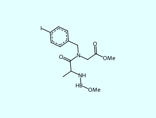 COBNC(C)C(=O)N(CC(=O)OC)Cc1ccc(I)cc1